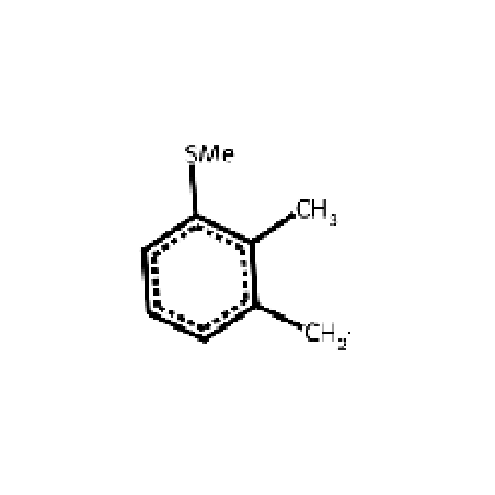 [CH2]c1cccc(SC)c1C